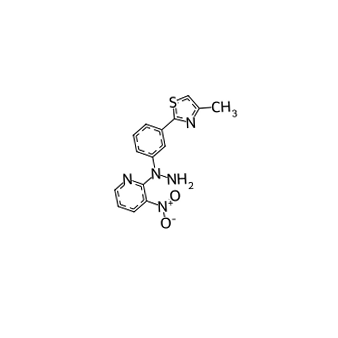 Cc1csc(-c2cccc(N(N)c3ncccc3[N+](=O)[O-])c2)n1